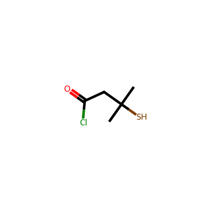 CC(C)(S)CC(=O)Cl